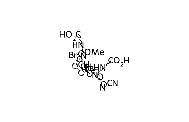 COc1nc(OCc2cccc(-c3cccc(COc4nc(OCc5cncc(C#N)c5)c(CNCCCC(=O)O)cc4Br)c3C)c2C)c(Br)cc1CNCCCC(=O)O